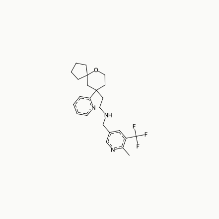 Cc1ncc(CNCCC2(c3ccccn3)CCOC3(CCCC3)C2)cc1C(F)(F)F